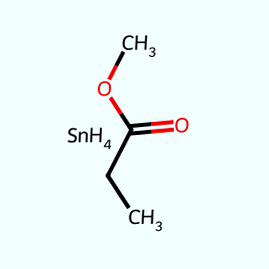 CCC(=O)OC.[SnH4]